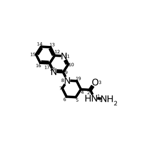 NNC(=O)C1CCCN(c2cnc3ccccc3n2)C1